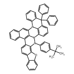 CC(C)(C)c1ccc(N2B3c4cccc5c4N(c4ccccc4C5(c4ccccc4)c4ccccc4)c4cc5ccccc5c(c43)-c3ccc4c(oc5ccccc54)c32)cc1